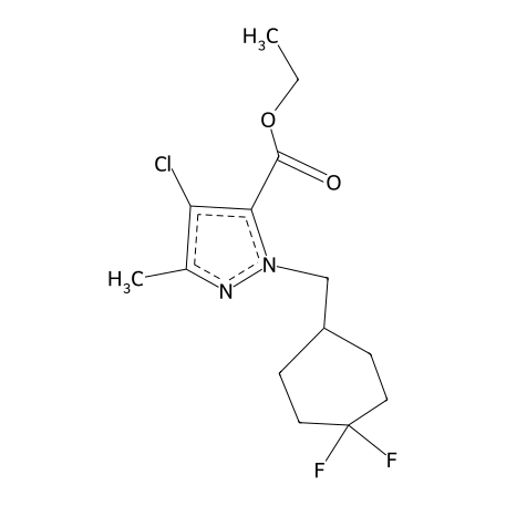 CCOC(=O)c1c(Cl)c(C)nn1CC1CCC(F)(F)CC1